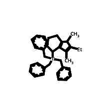 CCC1=C(C)C2=C(CCC[CH]2[Ti]([CH2]c2ccccc2)([CH2]c2ccccc2)[CH2]c2ccccc2)C1C